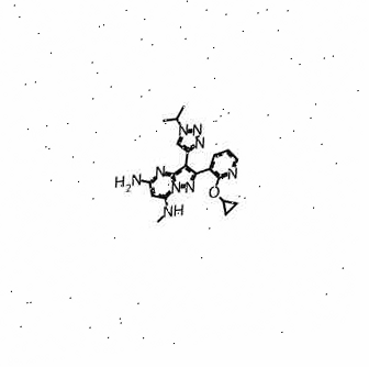 CNc1cc(N)nc2c(-c3cn(C(C)C)nn3)c(-c3cccnc3OC3CC3)nn12